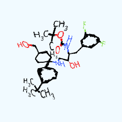 CC(C)(C)OC(=O)N[C@@H](Cc1cc(F)cc(F)c1)[C@H](O)CNC1(c2cccc(C(C)(C)C)c2)CCC(CO)CC1